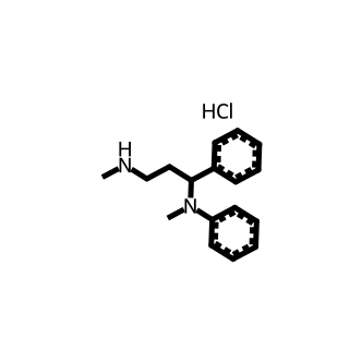 CNCCC(c1ccccc1)N(C)c1ccccc1.Cl